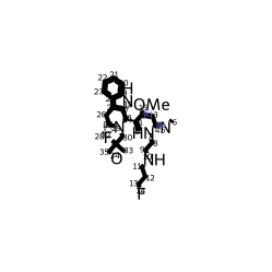 C=C(/C(=C\C(=N/C)NCCNCCCF)OC)[C@@H]1c2[nH]c3ccccc3c2C[C@@H](C)N1CC1(F)COC1